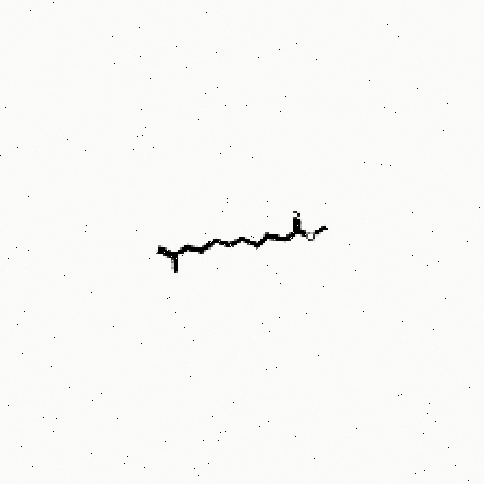 C=C(C)CCCCCCCCC(=O)OC